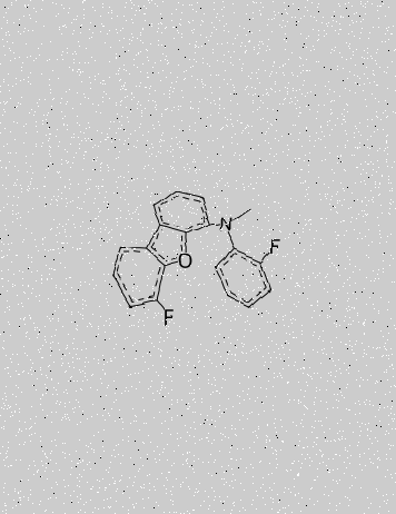 CN(c1ccccc1F)c1cccc2c1oc1c(F)cccc12